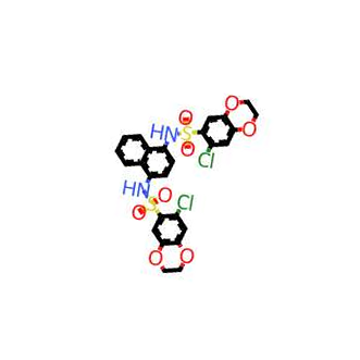 O=S(=O)(Nc1ccc(NS(=O)(=O)c2cc3c(cc2Cl)OCCO3)c2ccccc12)c1cc2c(cc1Cl)OCCO2